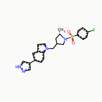 C[C@H]1CC(Cn2ccc3cc(-c4cn[nH]c4)ccc32)CN1S(=O)(=O)c1ccc(F)cc1